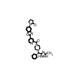 CN1N=C([C@@H](c2ccccc2)N2CCN(C(=O)c3cc(-c4nc5cc(N6CCCC6=O)ccc5o4)ccn3)CC2)NN1